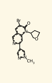 Cn1cc(-c2cc3c(cn2)cc(Br)c(=O)n3C2CCOC2)cn1